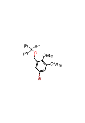 COc1cc(Br)cc(CO[Si](C(C)C)(C(C)C)C(C)C)c1OC